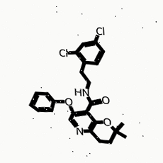 CC1(C)CCc2ncc(Oc3ccccc3)c(C(=O)NCCc3ccc(Cl)cc3Cl)c2O1